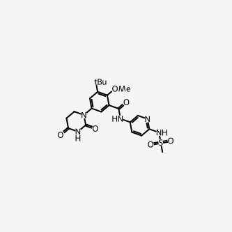 COc1c(C(=O)Nc2ccc(NS(C)(=O)=O)nc2)cc(N2CCC(=O)NC2=O)cc1C(C)(C)C